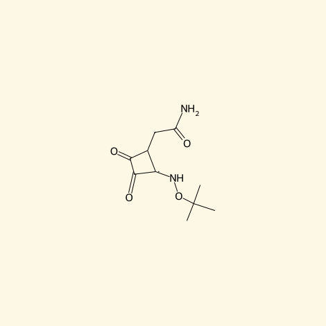 CC(C)(C)ON[C]1C(=O)C(=O)C1CC(N)=O